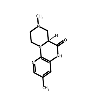 Cc1cnc2c(c1)NC(=O)[C@@H]1CN(C)CCN21